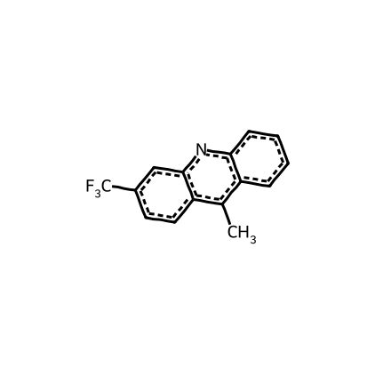 Cc1c2ccccc2nc2cc(C(F)(F)F)ccc12